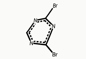 Brc1ncnc(Br)n1